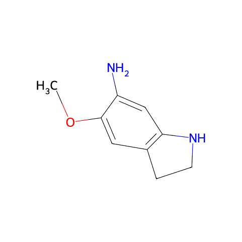 COc1cc2c(cc1N)NCC2